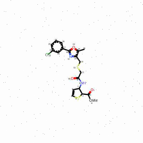 COC(=O)C1SC=CC1NC(=O)CSCc1nc(-c2cccc(Cl)c2)oc1C